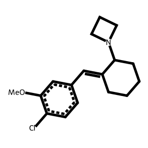 COc1cc(C=C2CCCCC2N2CCC2)ccc1Cl